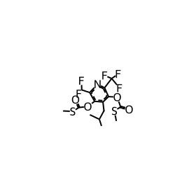 CSC(=O)Oc1c(C(F)F)nc(C(F)(F)F)c(OC(=O)SC)c1CC(C)C